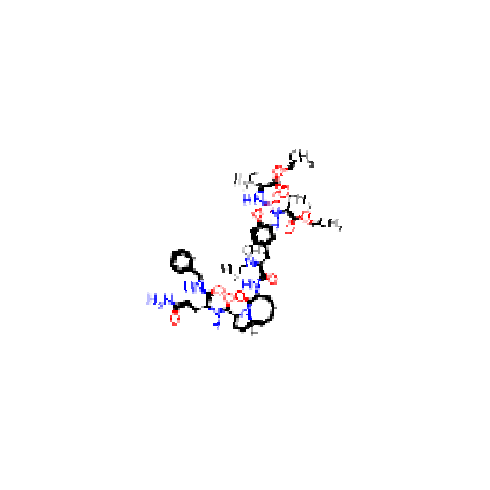 CCOC(=O)[C@H](C)NP(=O)(N[C@@H](C)C(=O)OCC)Oc1ccc(C[C@@H](C(=O)N[C@H]2CCCC[C@H]3CC[C@@H](C(=O)N[C@@H](CCC(N)=O)C(=O)NCc4ccccc4)N3C2=O)N(C)C)cc1